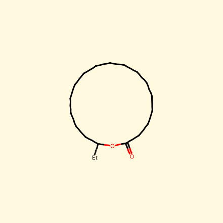 CCC1CCCCCCCCCCCCCCCC(=O)O1